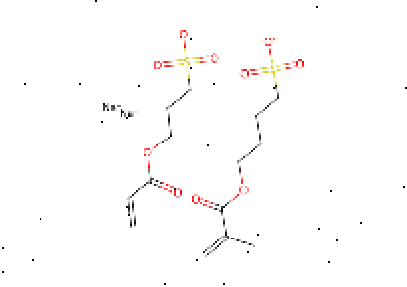 C=C(C)C(=O)OCCCCS(=O)(=O)[O-].C=CC(=O)OCCCS(=O)(=O)[O-].[Na+].[Na+]